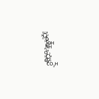 O=C(O)c1cc2ccc(OCCNCC(O)COc3ccccc3)cc2o1